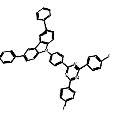 Fc1ccc(-c2nc(-c3ccc(F)cc3)nc(-c3ccc(-n4c5ccc(-c6ccccc6)cc5c5cc(-c6ccccc6)ccc54)cc3)n2)cc1